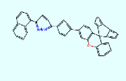 N=C(/C=C\C(=N)c1cccc2ccccc12)c1ccc(-c2ccc3c(c2)Oc2ccccc2C32c3ccccc3-c3ccccc32)cc1